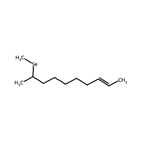 CC=CCCCCCC(C)[Se]C